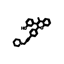 CC1=C(c2cccc(O)c2)C(c2ccc(C#CCN3CCCCC3)cc2)Oc2ccccc21